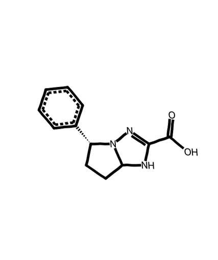 O=C(O)C1=NN2C(CC[C@@H]2c2ccccc2)N1